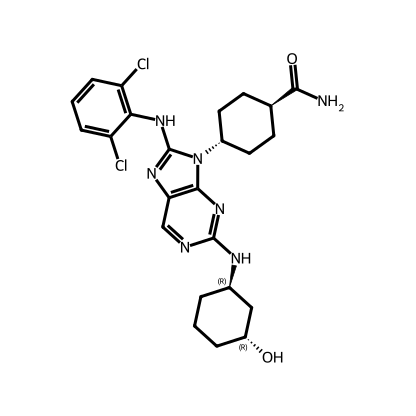 NC(=O)[C@H]1CC[C@H](n2c(Nc3c(Cl)cccc3Cl)nc3cnc(N[C@@H]4CCC[C@@H](O)C4)nc32)CC1